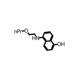 CCCOCCNc1cccc2c(O)cccc12